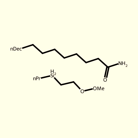 CCCCCCCCCCCCCCCCCC(N)=O.CCC[SiH2]CCOOC